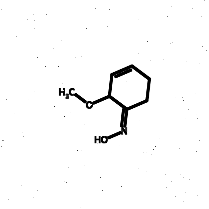 COC1C=CCCC1=NO